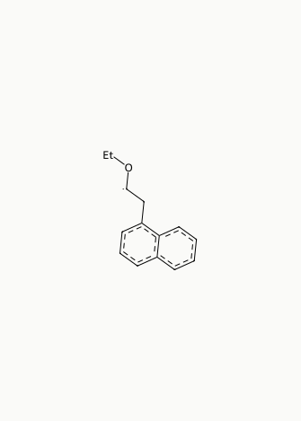 CCO[CH]Cc1cccc2ccccc12